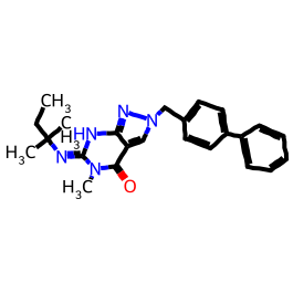 CCC(C)(C)/N=c1\[nH]c2nn(Cc3ccc(-c4ccccc4)cc3)cc2c(=O)n1C